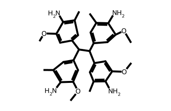 COc1cc(C(c2cc(C)c(N)c(OC)c2)C(c2cc(C)c(N)c(OC)c2)c2cc(C)c(N)c(OC)c2)cc(C)c1N